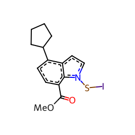 COC(=O)c1ccc(C2CCCC2)c2ccn(SI)c12